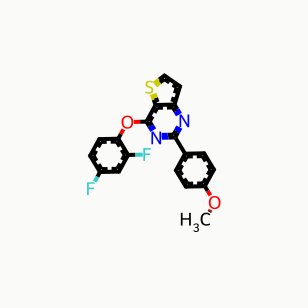 COc1ccc(-c2nc(Oc3ccc(F)cc3F)c3sccc3n2)cc1